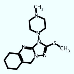 CSC1=NN2CC3=C(CCCC3)N=C2N1N1CCN(C)CC1